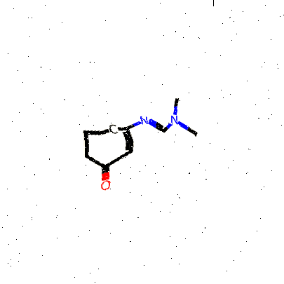 CN(C)C=NC1=CC(=O)CCC1